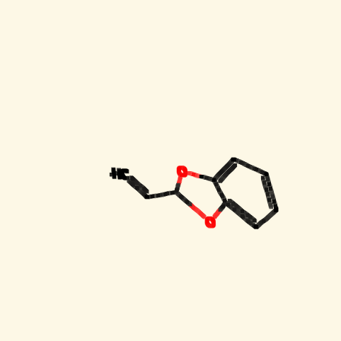 [CH]=CC1Oc2ccccc2O1